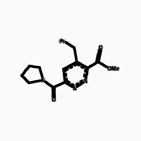 COC(=O)c1nnc(C(=O)N2CCCC2)cc1CC(C)C